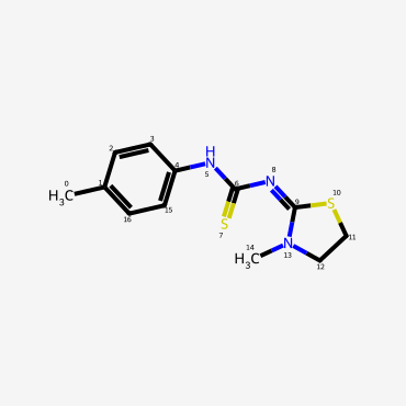 Cc1ccc(NC(=S)N=C2SCCN2C)cc1